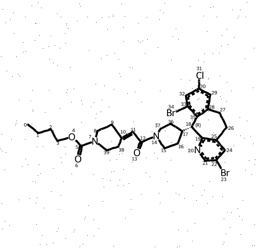 CCCCOC(=O)N1CCC(=CC(=O)N2CCC([C@H]3c4ncc(Br)cc4CCc4cc(Cl)cc(Br)c43)CC2)CC1